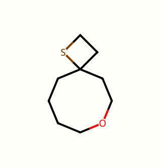 C1CCC2(CCOC1)CCS2